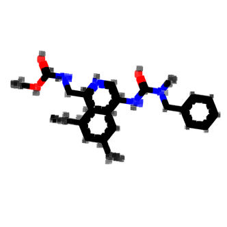 CCN(Cc1ccccc1)C(=O)Nc1cnc(CNC(=O)OC(C)(C)C)c2c(OC)cc(OC)cc12